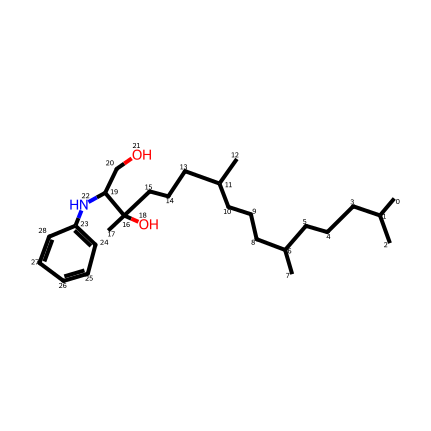 CC(C)CCCC(C)CCCC(C)CCCC(C)(O)C(CO)Nc1ccccc1